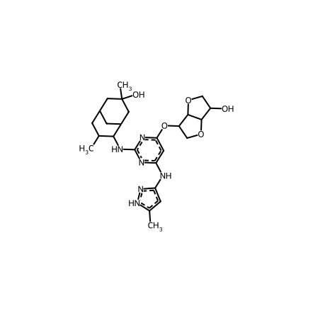 Cc1cc(Nc2cc(OC3COC4C(O)COC34)nc(NC3C(C)CC4CC3CC(C)(O)C4)n2)n[nH]1